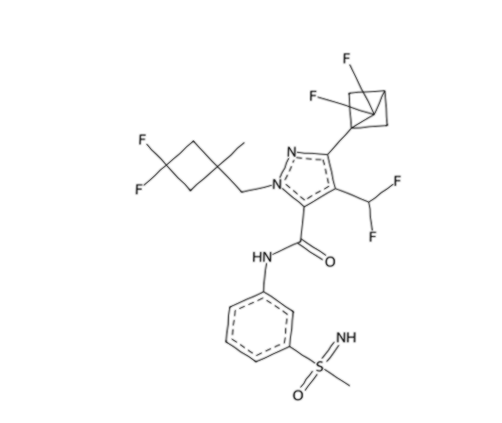 CC1(Cn2nc(C34CC(C3)C4(F)F)c(C(F)F)c2C(=O)Nc2cccc(S(C)(=N)=O)c2)CC(F)(F)C1